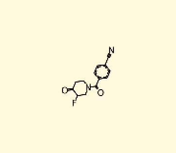 N#Cc1ccc(C(=O)N2CCC(=O)C(F)C2)cc1